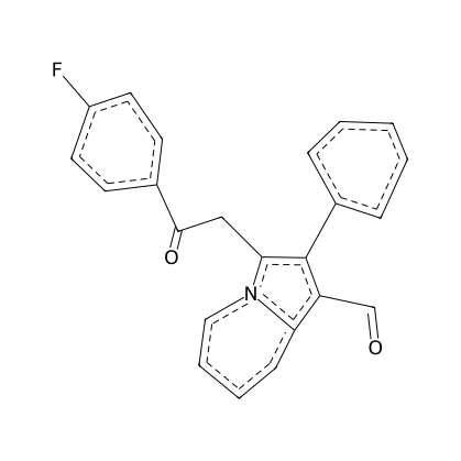 O=Cc1c(-c2ccccc2)c(CC(=O)c2ccc(F)cc2)n2ccccc12